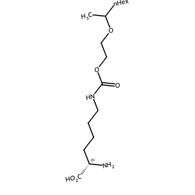 CCCCCCC(C)OCCOC(=O)NCCCC[C@H](N)C(=O)O